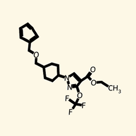 CCOC(=O)c1cn(C2CCC(COCc3ccccc3)CC2)nc1OC(F)(F)F